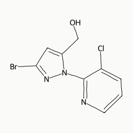 OCc1cc(Br)nn1-c1ncccc1Cl